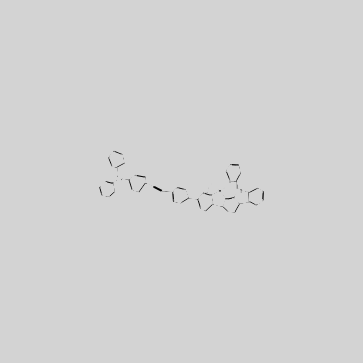 CC1(C)c2cc(-c3ccc(C#Cc4ccc(N(c5ccccc5)c5ccccc5)cc4)cc3)ccc2-c2ccc3c4ccccc4n(-c4ccccc4)c3c21